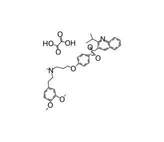 COc1ccc(CCN(C)CCCOc2ccc(S(=O)(=O)c3cc4ccccc4nc3C(C)C)cc2)cc1OC.O=C(O)C(=O)O